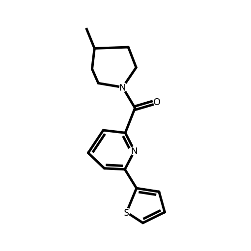 CC1CCN(C(=O)c2cccc(-c3cccs3)n2)CC1